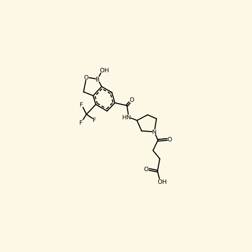 O=C(O)CCC(=O)N1CCC(NC(=O)c2cc3c(c(C(F)(F)F)c2)COB3O)C1